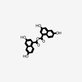 O=C(OC(=O)c1cc(O)cc2cc(O)ccc12)c1cc(O)cc2cc(O)ccc12